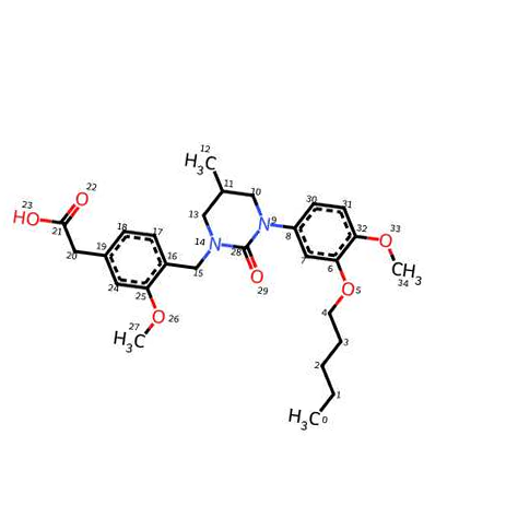 CCCCCOc1cc(N2CC(C)CN(Cc3ccc(CC(=O)O)cc3OC)C2=O)ccc1OC